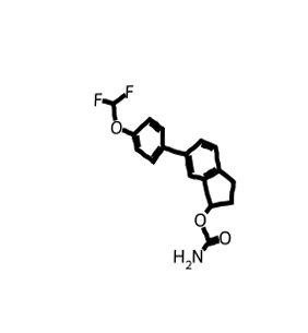 NC(=O)OC1CCc2ccc(-c3ccc(OC(F)F)cc3)cc21